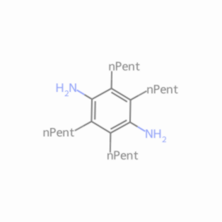 CCCCCc1c(N)c(CCCCC)c(CCCCC)c(N)c1CCCCC